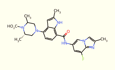 Cc1cn2cc(NC(=O)c3ccc(N4CC(C)N(C(=O)O)[C@@H](C)C4)c4cc(C)[nH]c34)cc(F)c2n1